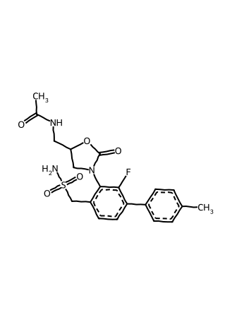 CC(=O)NCC1CN(c2c(CS(N)(=O)=O)ccc(-c3ccc(C)cc3)c2F)C(=O)O1